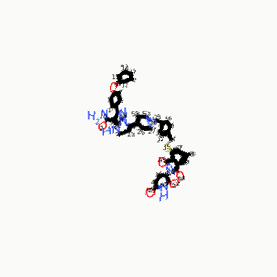 NC(=O)c1c(-c2ccc(Oc3ccccc3)cc2)nn2c1NCCC2C1CCN(Cc2ccc(CSc3cccc4c3C(=O)N(C3CCC(=O)NC3=O)C4=O)cc2)CC1